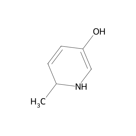 CC1C=CC(O)=CN1